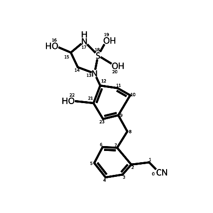 N#CCc1ccccc1Cc1ccc(N2CC(O)NS2(O)O)c(O)c1